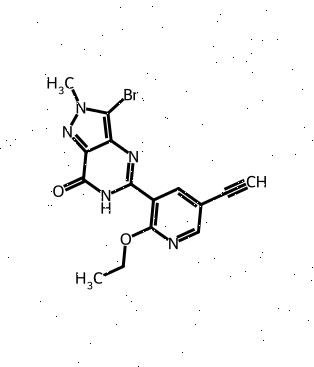 C#Cc1cnc(OCC)c(-c2nc3c(Br)n(C)nc3c(=O)[nH]2)c1